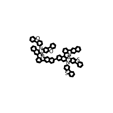 c1ccc2cc3c(cc2c1)c1cccc2c1n3B1c3cc4sc5ccccc5c4cc3N(c3ccc4sc5ccccc5c4c3)c3cc4cc(-c5ccc6cc7c8cccc9c8n(c7cc6c5)B5c6cc7oc8ccccc8c7cc6N(c6ccc7oc8ccccc8c7c6)c6c5c-9cc5ccccc65)ccc4c-2c31